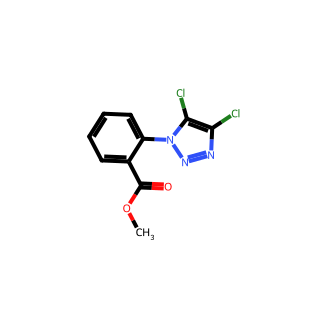 COC(=O)c1ccccc1-n1nnc(Cl)c1Cl